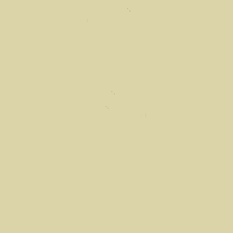 Cl.Fc1cnccc1CCCNn1ccc2cc(OCc3ccccc3)ccc21